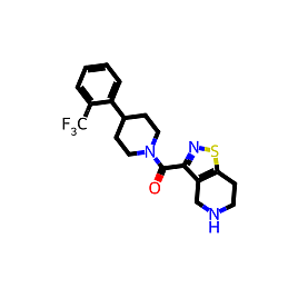 O=C(c1nsc2c1CNCC2)N1CCC(c2ccccc2C(F)(F)F)CC1